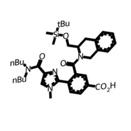 CCCCN(CCCC)C(=O)c1cn(C)c(-c2ccc(C(=O)O)cc2C(=O)N2Cc3ccccc3CC2CO[Si](C)(C)C(C)(C)C)n1